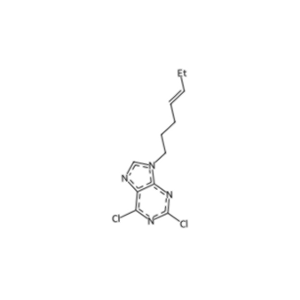 CC/C=C/CCCn1cnc2c(Cl)nc(Cl)nc21